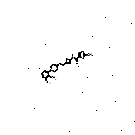 Cc1ncc(C(=O)NC2CC(CCN3CCN(c4cccc(C)c4C)CC3)C2)o1